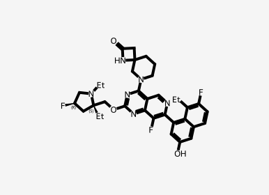 CCc1c(F)ccc2cc(O)cc(-c3ncc4c(N5CCCC6(CC(=O)N6)C5)nc(OC[C@]5(CC)C[C@@H](F)CN5CC)nc4c3F)c12